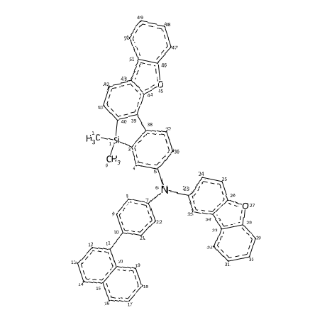 C[Si]1(C)c2cc(N(c3ccc(-c4cccc5ccccc45)cc3)c3ccc4oc5ccccc5c4c3)ccc2-c2c1ccc1c2oc2ccccc21